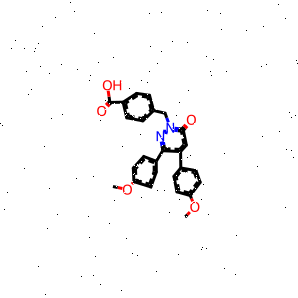 COc1ccc(-c2cc(=O)n(Cc3ccc(C(=O)O)cc3)nc2-c2ccc(OC)cc2)cc1